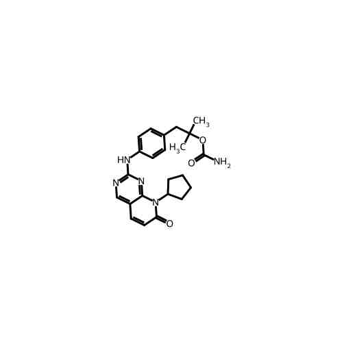 CC(C)(Cc1ccc(Nc2ncc3ccc(=O)n(C4CCCC4)c3n2)cc1)OC(N)=O